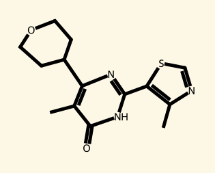 Cc1ncsc1-c1nc(C2CCOCC2)c(C)c(=O)[nH]1